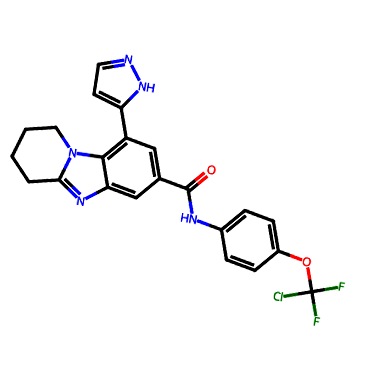 O=C(Nc1ccc(OC(F)(F)Cl)cc1)c1cc(-c2ccn[nH]2)c2c(c1)nc1n2CCCC1